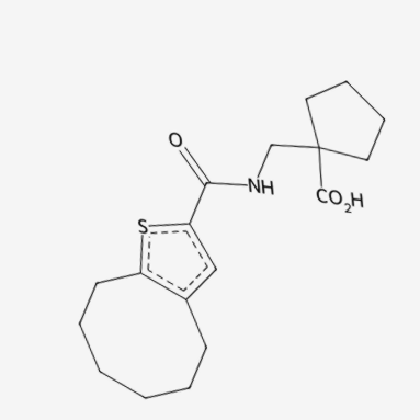 O=C(NCC1(C(=O)O)CCCC1)c1cc2c(s1)CCCCCC2